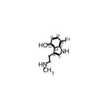 CNCCc1c[nH]c2c(F)ccc(O)c12